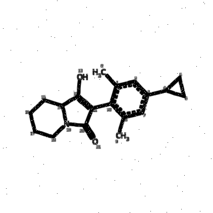 Cc1cc(C2CC2)cc(C)c1C1=C(O)C2CCCCN2C1=O